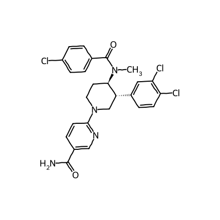 CN(C(=O)c1ccc(Cl)cc1)[C@@H]1CCN(c2ccc(C(N)=O)cn2)C[C@H]1c1ccc(Cl)c(Cl)c1